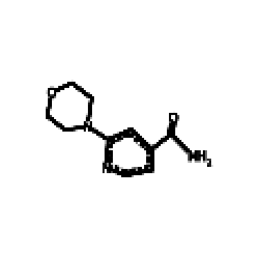 NC(=O)c1ccnc(N2CCOCC2)c1